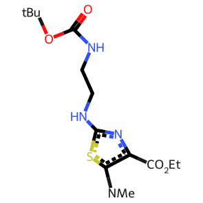 CCOC(=O)c1nc(NCCNC(=O)OC(C)(C)C)sc1NC